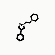 c1ccc(-c2cnn(CCN3CCCCC3)c2)cc1